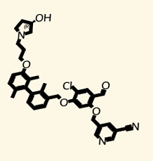 Cc1ccc(OCCCN2CC[C@@H](O)C2)c(C)c1-c1cccc(COc2cc(OCc3cncc(C#N)c3)c(C=O)cc2Cl)c1C